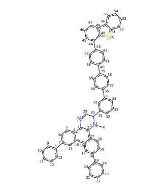 CN1c2c(c3ccc(-c4ccccc4)cc3c3cc(-c4ccccc4)ccc23)N=CC1c1cccc(-c2ccc(-c3ccc(-c4cccc5c4sc4ccccc45)cc3)cc2)c1